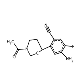 CC(=O)N1CCC(c2cc(N)c(F)cc2C#N)CC1